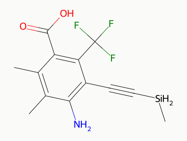 C[SiH2]C#Cc1c(N)c(C)c(C)c(C(=O)O)c1C(F)(F)F